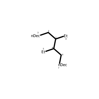 [CH2]CC(CCCCCCCCCCC)C(C[CH2])CCCCCCCCCCC